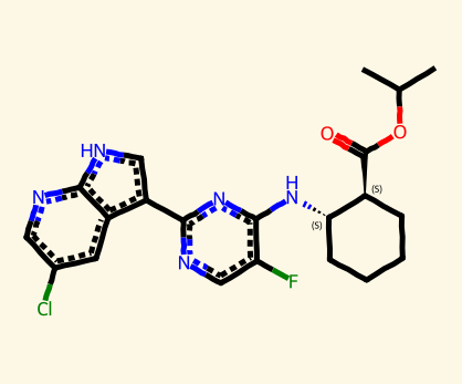 CC(C)OC(=O)[C@H]1CCCC[C@@H]1Nc1nc(-c2c[nH]c3ncc(Cl)cc23)ncc1F